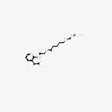 CC(C(=O)O)c1cccnc1NC(=O)CNC(=O)CCCCNC=NN